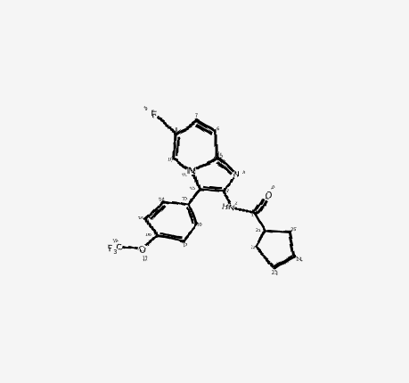 O=C(Nc1nc2ccc(F)cn2c1-c1ccc(OC(F)(F)F)cc1)C1CCCC1